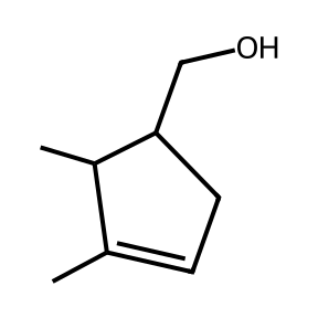 CC1=CCC(CO)C1C